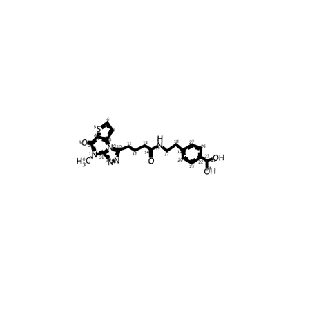 Cn1c(=O)c2sccc2n2c(CCCC(=O)NCCc3ccc(C(O)O)cc3)nnc12